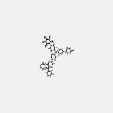 Fc1ccc(-c2ccc(N(c3ccc(-c4ccc5c(c4)c4ccccc4n5-c4ccccc4)cc3)c3ccc(-c4c(F)c(F)c(F)c(F)c4F)cc3)cc2)cc1